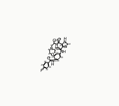 CC(CN1CCOCC1)NC(=O)c1[nH]cnc1C(=O)Nc1ccc(NC(=O)c2ccc(F)cc2)cc1